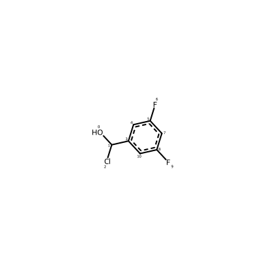 OC(Cl)c1cc(F)cc(F)c1